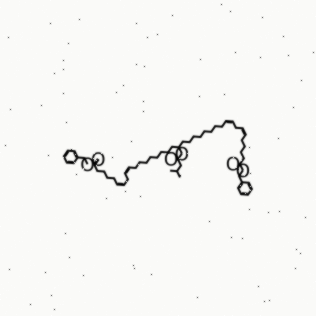 CC(C)CC(=O)OC(CCCCCCCC/C=C\C/C=C\CCCCC(=O)OCc1ccccc1)CCCCCCCC/C=C\C/C=C\CCCCC(=O)OCc1ccccc1